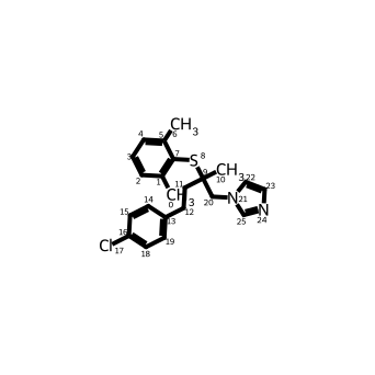 Cc1cccc(C)c1SC(C)(CCc1ccc(Cl)cc1)Cn1ccnc1